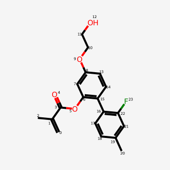 C=C(C)C(=O)Oc1cc(OCCO)ccc1-c1ccc(C)cc1F